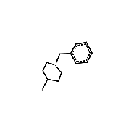 IC1CCN(Cc2ccccc2)CC1